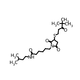 CC(C)CCNC(=O)CCCCCN1C(=O)CC(SCCC(=O)C(C)(C)C)C1=O